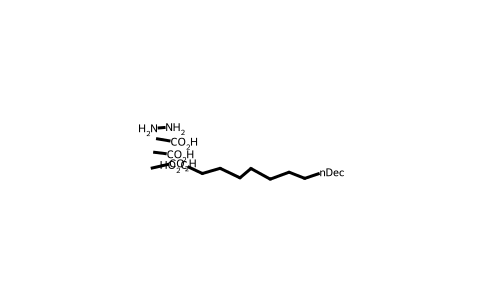 CC(=O)O.CC(=O)O.CC(=O)O.CCCCCCCCCCCCCCCCCC(=O)O.NN